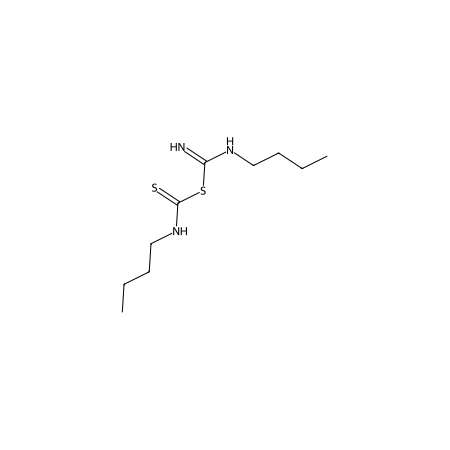 CCCCNC(=N)SC(=S)NCCCC